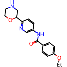 CCOc1ccc(C(=O)Nc2ccc(C3CNCCO3)nc2)cc1